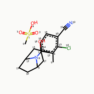 CS(=O)(=O)O.Cc1c(N2C3CCC2CC(C)(O)C3)ccc(C#N)c1Cl